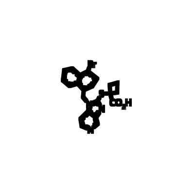 O=C(O)C1(Sc2nc3cnccc3n2Cc2ccc(Br)c3ccccc23)CCC1